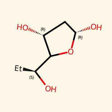 CC[C@H](O)C1O[C@@H](O)C[C@H]1O